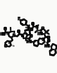 CC(C(=O)NC(C(=O)N1Cc2cc(NC(=O)C3(C)CN(C(=O)CN4CC(C)N(C(=O)O)CC4CN4CCOC[C@H]4C)c4cc(Cc5ccc(F)cc5)ccc43)ccc2C[C@H]1C(=O)N[C@@H]1CCCc2ccccc21)C(C)(C)C)N(C)C(=O)OC(C)(C)C